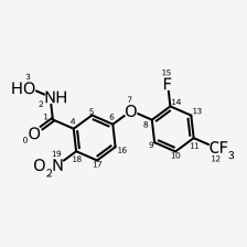 O=C(NO)c1cc(Oc2ccc(C(F)(F)F)cc2F)ccc1[N+](=O)[O-]